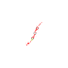 COCCCOc1ccc(OC(=O)[C@H]2CC[C@H](C(=O)Oc3ccc(SCCOCC(=O)OC)cc3)CC2)cc1